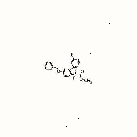 COC(=O)C(F)(F)c1ccc(OCc2ccccc2)cc1-c1cccc(F)c1